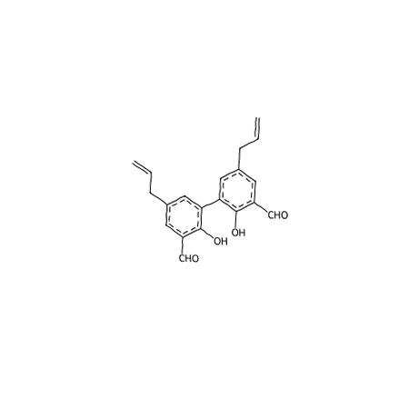 C=CCc1cc(C=O)c(O)c(-c2cc(CC=C)cc(C=O)c2O)c1